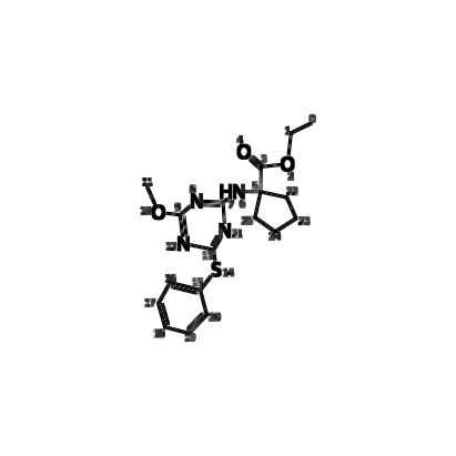 CCOC(=O)C1(Nc2nc(OC)nc(Sc3ccccc3)n2)CCCC1